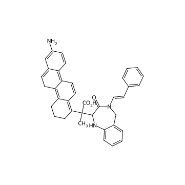 CC(C(=O)O)(C1=c2ccc3c(c2CCC1)CC=c1cc(N)ccc1=3)C1Nc2ccccc2CN(C=Cc2ccccc2)C1=O